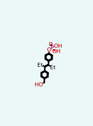 CC/C(=C(/CC)c1ccc(OP(=O)(O)O)cc1)c1ccc(CO)cc1